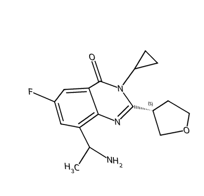 CC(N)c1cc(F)cc2c(=O)n(C3CC3)c([C@@H]3CCOC3)nc12